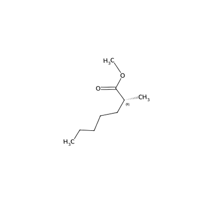 CCCCC[C@@H](C)C(=O)OC